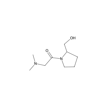 CN(C)CC(=O)N1CCCC1CO